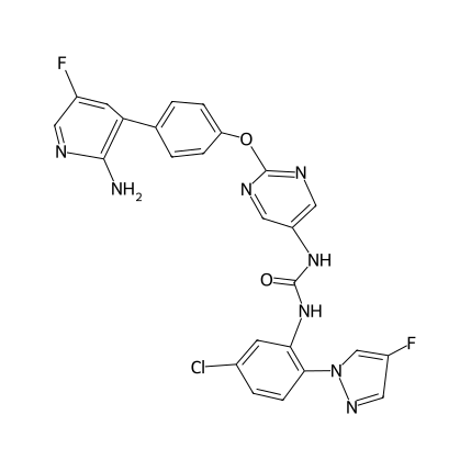 Nc1ncc(F)cc1-c1ccc(Oc2ncc(NC(=O)Nc3cc(Cl)ccc3-n3cc(F)cn3)cn2)cc1